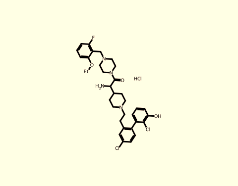 CCOc1cccc(F)c1CN1CCN(C(=O)C(N)C2CCN(CCc3cc(Cl)ccc3-c3cccc(O)c3Cl)CC2)CC1.Cl